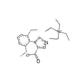 CC[N+](CC)(CC)CC.CCc1cccc(CC)c1-n1cncc1C(=O)[O-]